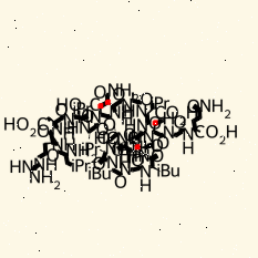 CC[C@H](C)[C@H](NC(=O)CNC(=O)[C@@H](NC(=O)[C@@H](NC(=O)[C@H](C)NC(=O)[C@@H](NC(=O)CNC(=O)[C@H](CC(C)C)NC(=O)[C@H](C)NC(=O)[C@H](CCC(=O)O)NC(=O)[C@H](CCC(N)=O)NC(=O)[C@H](C)NC(=O)[C@@H](NC(=O)[C@H](CC(=O)O)NC(=O)[C@H](CCCNC(=N)N)NC(=O)[C@@H](N)CC(C)C)C(C)C)C(C)C)C(C)C)[C@@H](C)CC)C(=O)N[C@@H](CC(=O)O)C(=O)N[C@@H](CCC(=O)O)C(=O)NCC(=O)N[C@@H](CCC(N)=O)C(=O)O